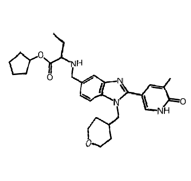 CCC(NCc1ccc2c(c1)nc(-c1c[nH]c(=O)c(C)c1)n2CC1CCOCC1)C(=O)OC1CCCC1